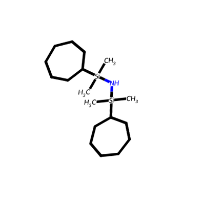 C[Si](C)(N[Si](C)(C)C1CCCCCC1)C1CCCCCC1